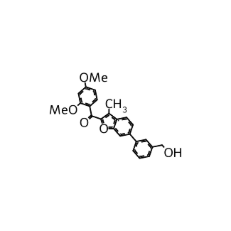 COc1ccc(C(=O)c2oc3cc(-c4cccc(CO)c4)ccc3c2C)c(OC)c1